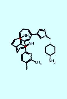 Cc1nc(C(=N)C(=C\N)/C2=C\C=C\C3=CC(c4cnn(C[C@H]5CC[C@H](N)CC5)c4)=CCC=C3/C=C\2)ccc1F